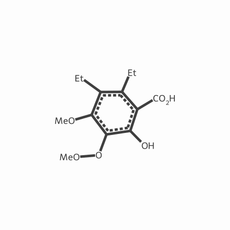 CCc1c(CC)c(C(=O)O)c(O)c(OOC)c1OC